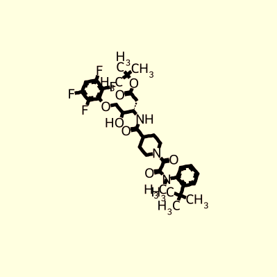 CN(C(=O)C(=O)N1CCC(C(=O)N[C@@H](CC(=O)OC(C)(C)C)C(O)COc2c(F)c(F)cc(F)c2F)CC1)c1ccccc1C(C)(C)C